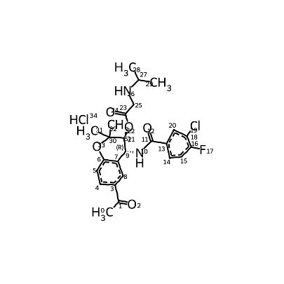 CC(=O)c1ccc2c(c1)[C@@H](NC(=O)c1ccc(F)c(Cl)c1)[C@H](OC(=O)CNC(C)C)C(C)(C)O2.Cl